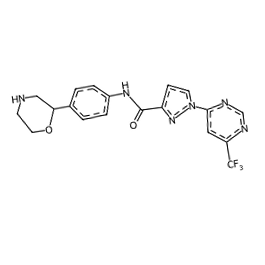 O=C(Nc1ccc(C2CNCCO2)cc1)c1ccn(-c2cc(C(F)(F)F)ncn2)n1